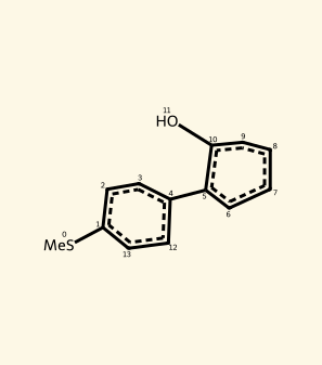 CSc1ccc(-c2ccccc2O)cc1